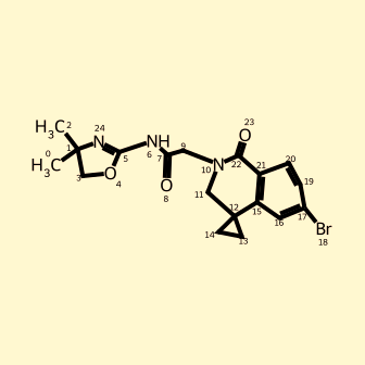 CC1(C)COC(NC(=O)CN2CC3(CC3)c3cc(Br)ccc3C2=O)=N1